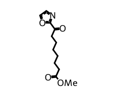 COC(=O)CCCCCCC(=O)c1ncco1